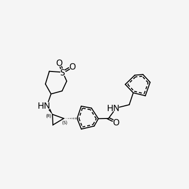 O=C(NCc1ccccc1)c1ccc([C@@H]2C[C@H]2NC2CCS(=O)(=O)CC2)cc1